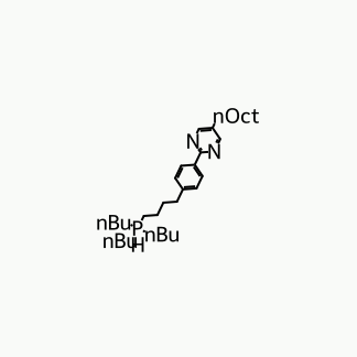 CCCCCCCCc1cnc(-c2ccc(CCCC[PH](CCCC)(CCCC)CCCC)cc2)nc1